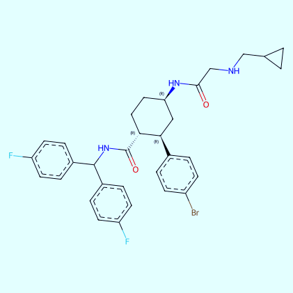 O=C(CNCC1CC1)N[C@@H]1CC[C@@H](C(=O)NC(c2ccc(F)cc2)c2ccc(F)cc2)[C@H](c2ccc(Br)cc2)C1